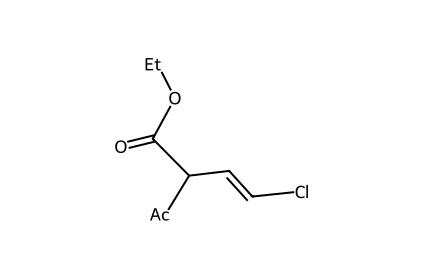 CCOC(=O)C(C=CCl)C(C)=O